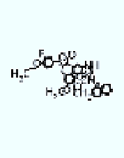 CCCOc1ccc([C]2OC(=O)C(c3ccc4c(c3)NSN4CCc3cccc4ccccc34)=C2Cc2cc(OC)c(OC)c(OC)c2)cc1F